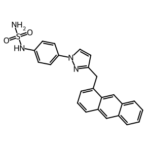 NS(=O)(=O)Nc1ccc(-n2ccc(Cc3cccc4cc5ccccc5cc34)n2)cc1